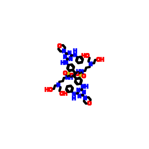 O=S(=O)(NCCCN(CCO)CCO)c1cc(Nc2nc(Nc3ccccc3)nc(N3CCOCC3)n2)ccc1/C=C/c1ccc(Nc2nc(Nc3ccccc3)nc(N3CCOCC3)n2)cc1S(=O)(=O)NCCCN(CCO)CCO